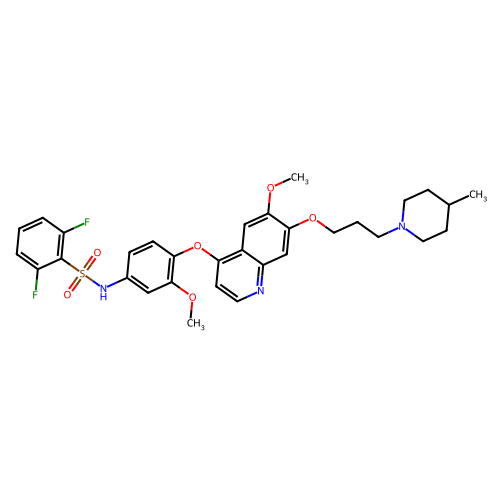 COc1cc2c(Oc3ccc(NS(=O)(=O)c4c(F)cccc4F)cc3OC)ccnc2cc1OCCCN1CCC(C)CC1